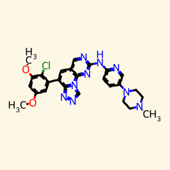 COc1cc(OC)c(Cl)c(-c2cc3cnc(Nc4ccc(N5CCN(C)CC5)cn4)nc3n3cnnc23)c1